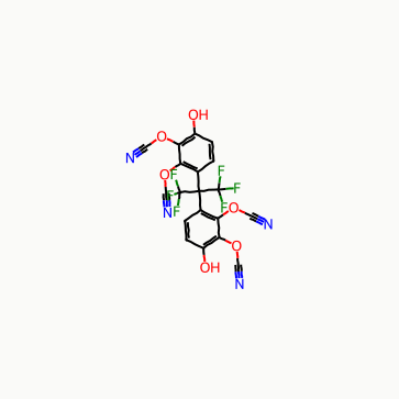 N#COc1c(O)ccc(C(c2ccc(O)c(OC#N)c2OC#N)(C(F)(F)F)C(F)(F)F)c1OC#N